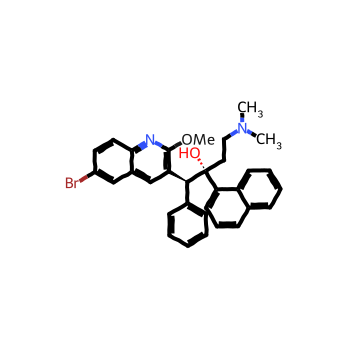 COc1nc2ccc(Br)cc2cc1[C@H](c1ccccc1)[C@@](O)(CCN(C)C)c1cccc2ccccc12